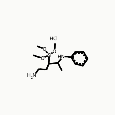 CO[Si](OC)(OC)C(CCN)C(C)Nc1ccccc1.Cl